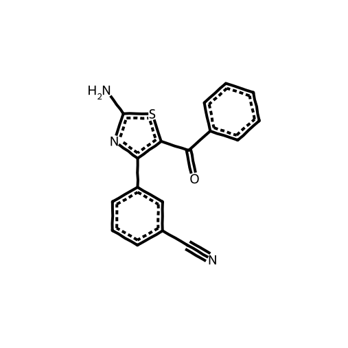 N#Cc1cccc(-c2nc(N)sc2C(=O)c2ccccc2)c1